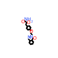 COC(Cc1ccc(OCCn2ncc3ccccc3c2=O)cc1)C(N)=O